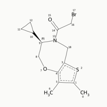 Cc1sc2c(c1C)OC[C@@H](C1CC1)N(C(=O)CBr)C2